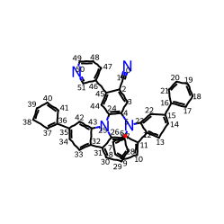 N#Cc1cc(-n2c3ccccc3c3ccc(-c4ccccc4)cc32)c(-n2c3ccccc3c3ccc(-c4ccccc4)cc32)cc1-c1cccnc1